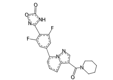 O=C(c1cnn2c(-c3cc(F)c(-c4noc(=O)[nH]4)c(F)c3)cccc12)N1CCCCC1